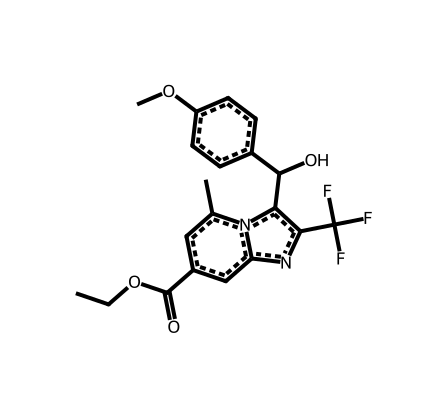 CCOC(=O)c1cc(C)n2c(C(O)c3ccc(OC)cc3)c(C(F)(F)F)nc2c1